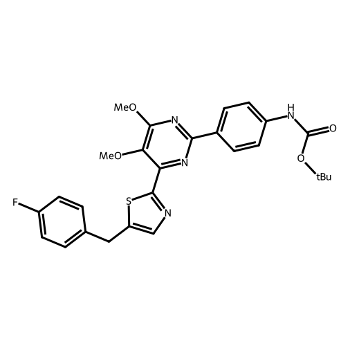 COc1nc(-c2ccc(NC(=O)OC(C)(C)C)cc2)nc(-c2ncc(Cc3ccc(F)cc3)s2)c1OC